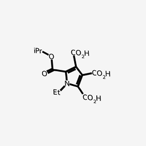 CCn1c(C(=O)O)c(C(=O)O)c(C(=O)O)c1C(=O)OC(C)C